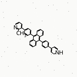 Cc1ncccc1-c1ccc(-c2c3ccccc3c(-c3ccc(C4=CCNC=C4)cc3)c3ccccc23)cc1